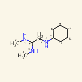 CNC(NC)[SiH2]NC1CCCCC1